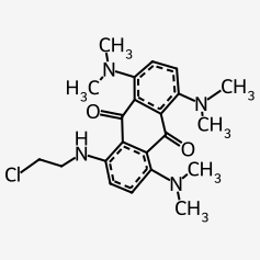 CN(C)c1ccc(NCCCl)c2c1C(=O)c1c(N(C)C)ccc(N(C)C)c1C2=O